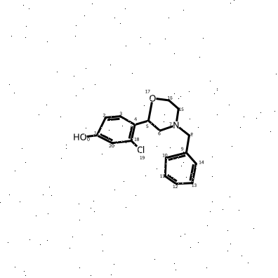 Oc1ccc(C2CN(Cc3ccccc3)CCO2)c(Cl)c1